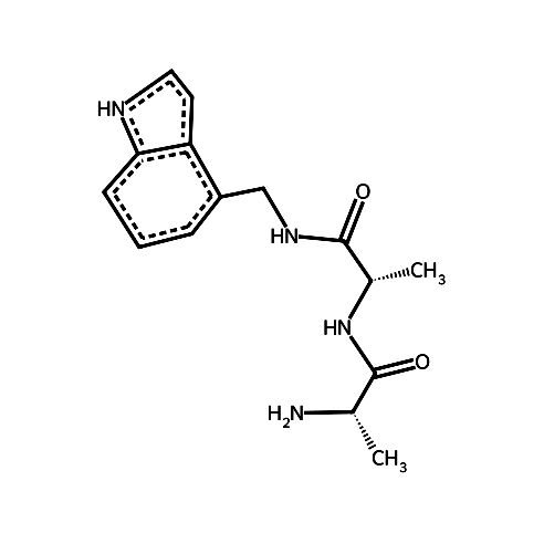 C[C@H](N)C(=O)N[C@@H](C)C(=O)NCc1cccc2[nH]ccc12